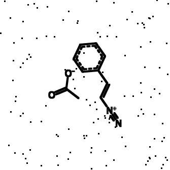 CC(=O)[O-].N#[N+]C=Cc1ccccc1